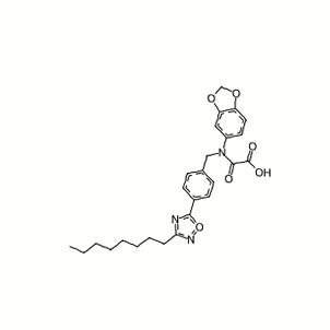 CCCCCCCCc1noc(-c2ccc(CN(C(=O)C(=O)O)c3ccc4c(c3)OCO4)cc2)n1